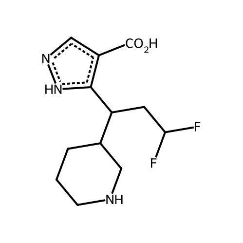 O=C(O)c1cn[nH]c1C(CC(F)F)C1CCCNC1